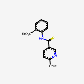 CCOC(=O)c1ccccc1NC(=S)c1ccc(OC)nc1